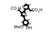 COc1cc(-c2cc(CC(=O)O)c(-c3sccc3CC(=O)O)s2)ccc1O